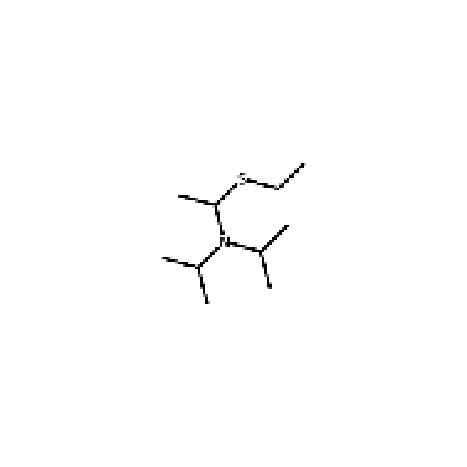 CCSC(C)N(C(C)C)C(C)C